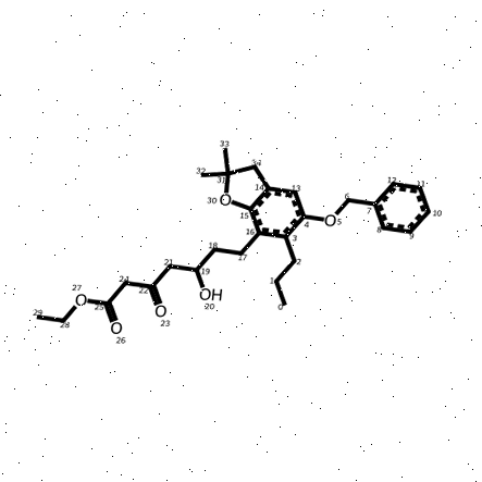 CCCc1c(OCc2ccccc2)cc2c(c1CCC(O)CC(=O)CC(=O)OCC)OC(C)(C)C2